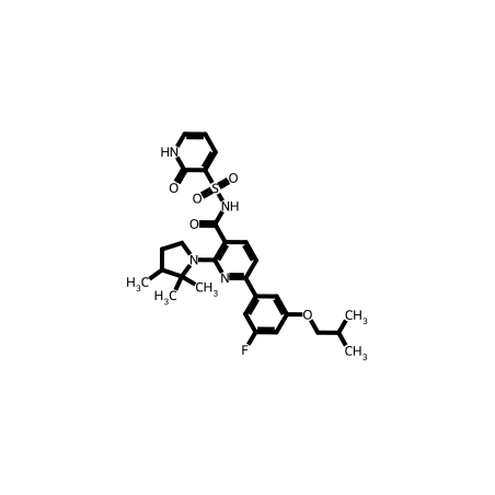 CC(C)COc1cc(F)cc(-c2ccc(C(=O)NS(=O)(=O)c3ccc[nH]c3=O)c(N3CCC(C)C3(C)C)n2)c1